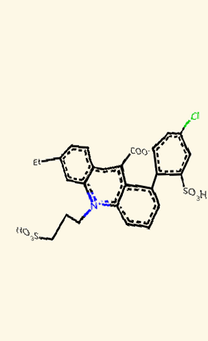 CCc1ccc2c(C(=O)[O-])c3c(-c4ccc(Cl)cc4S(=O)(=O)O)cccc3[n+](CCCS(=O)(=O)O)c2c1